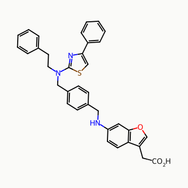 O=C(O)Cc1coc2cc(NCc3ccc(CN(CCc4ccccc4)c4nc(-c5ccccc5)cs4)cc3)ccc12